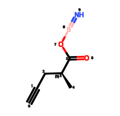 C#CC[C@H](C)C(=O)OB=N